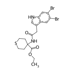 CCOC(=O)C1(NC(=O)Cc2c[nH]c3cc(Br)c(Br)cc23)CCSCC1